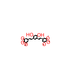 COc1cc(/C=C/c2cc(/C=C/c3cc(OC)c(OC)c(OC)c3)c(O)cc2O)cc(OC)c1OC